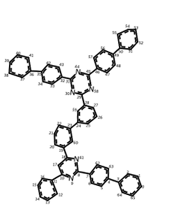 c1ccc(-c2ccc(-c3nc(-c4ccccc4)cc(-c4cccc(-c5cccc(-c6nc(-c7ccc(-c8ccccc8)cc7)nc(-c7ccc(-c8ccccc8)cc7)n6)c5)c4)n3)cc2)cc1